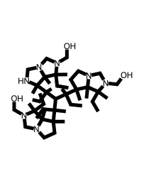 CCC(C)(C(C(C)(CC)C1(C)CCN2CN(CO)C(C)(CC)C21C)C(C)(CC)C1(C)NCN2CN(CO)C(C)(CC)C21C)C1(C)CCN2CN(CO)C(C)(CC)C21C